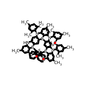 Cc1cc(C)c(N2c3cc4c(cc3B3c5sc6ccccc6c5Oc5cc(C)cc2c53)B2c3cc5c(cc3N(c3c(C)cc(C)cc3C)c3cc(C)cc(c32)N4c2c(C)cc(C)cc2C)Nc2cc(C)cc3c2B5c2sc4ccccc4c2O3)c(C)c1